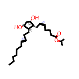 CCCCCC/C=C/CC[C@@H]1[C@@H](C/C=C\CCCC(=O)OC(C)C)[C@@H](O)C[C@H]1O